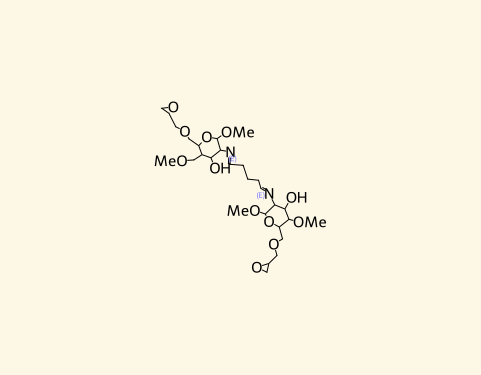 COCC1C(COCC2CO2)OC(OC)C(/N=C/CCC/C=N/C2C(OC)OC(COCC3CO3)C(OC)C2O)C1O